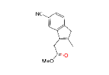 COC(=O)CC1=C(C)Cc2ccc(C#N)cc21